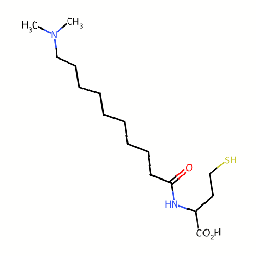 CN(C)CCCCCCCCCC(=O)NC(CCS)C(=O)O